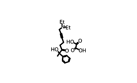 CCN(CC)CC#CCCC(=O)C(C)(O)c1ccccc1.O=C(O)C(=O)O